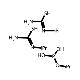 CC(C)N=C(N)S.CC(C)N=C(N)S.CC(C)OP(O)O